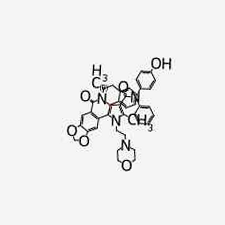 Cc1c(C(=O)N(c2ccccc2)c2ccc(O)cc2)cc(-c2cc3c(cc2C(=O)N2Cc4ccccc4C[C@H]2C)OCO3)n1CCN1CCOCC1